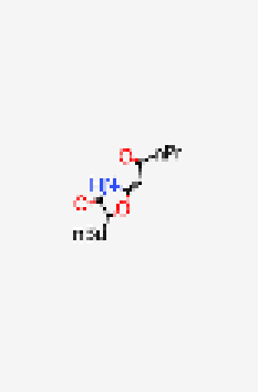 CCCC[C@@H]1O/C(=C/C(=O)CCC)NC1=O